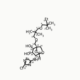 CCC(C)(C)COCC(C)(C)COC[C@@]12CO[C@@H](O1)[C@H](Nc1nc(Cl)ns1)[C@@H](O)[C@H]2O